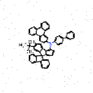 CC(C)(C)c1ccc2c(c1)C1(c3ccccc3-c3ccccc31)c1cccc(N(c3ccc(-c4ccccc4)cc3)c3ccc4c5ccccc5c5ccccc5c4c3)c1-2